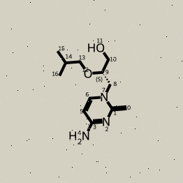 C=C1N=C(N)C=CN1C[C@@H](CO)OCC(C)C